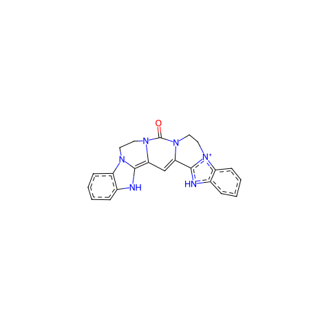 O=C1N2CC[n+]3c([nH]c4ccccc43)C2=CC2=C3Nc4ccccc4N3CCN12